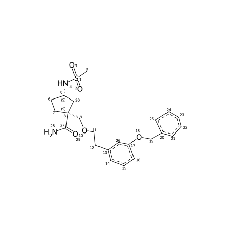 CS(=O)(=O)N[C@H]1CC[C@](COCCc2cccc(OCc3ccccc3)c2)(C(N)=O)C1